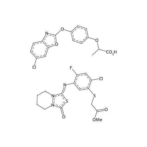 CC(Oc1ccc(Oc2nc3ccc(Cl)cc3o2)cc1)C(=O)O.COC(=O)CSc1cc(/N=c2\sc(=O)n3n2CCCC3)c(F)cc1Cl